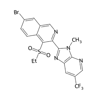 CCS(=O)(=O)c1c(-c2nc3cc(C(F)(F)F)cnc3n2C)ncc2cc(Br)ccc12